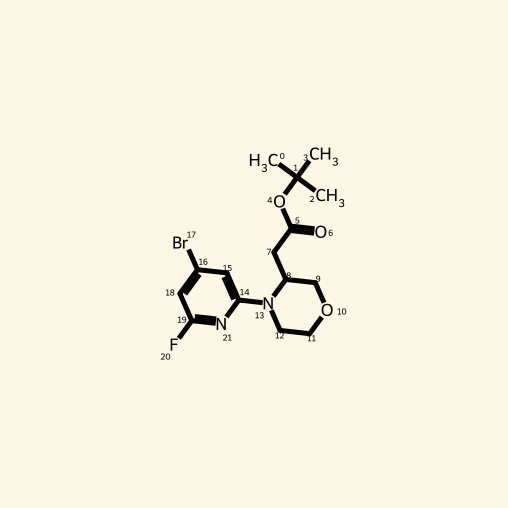 CC(C)(C)OC(=O)CC1COCCN1c1cc(Br)cc(F)n1